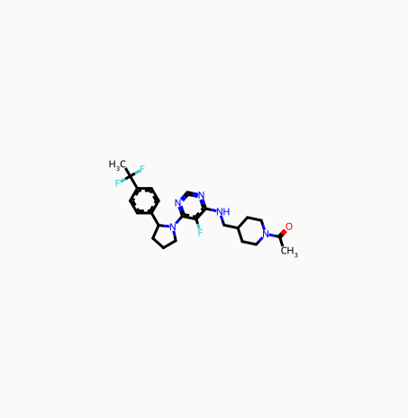 CC(=O)N1CCC(CNc2ncnc(N3CCCC3c3ccc(C(C)(F)F)cc3)c2F)CC1